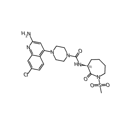 CS(=O)(=O)N1CCCC[C@H](NC(=O)N2CCN(c3cc(N)nc4cc(Cl)ccc34)CC2)C1=O